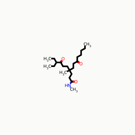 CCCCCC(=O)CCC(C)(CCC(=O)NC)CCC(=O)C(CC)CC